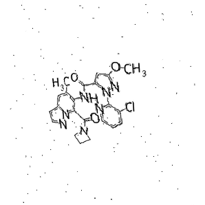 COc1cc(C(=O)Nc2c(C)cc3ccnn3c2C(=O)N2CCC2)n(-c2ncccc2Cl)n1